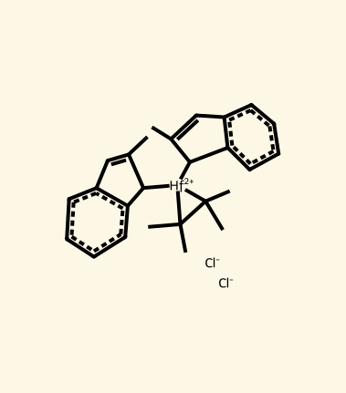 CC1=Cc2ccccc2[CH]1[Hf+2]1([CH]2C(C)=Cc3ccccc32)[C](C)(C)[C]1(C)C.[Cl-].[Cl-]